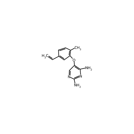 C=Cc1ccc(C)c(Oc2cnc(N)nc2N)c1